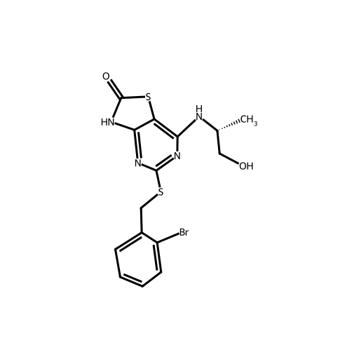 C[C@H](CO)Nc1nc(SCc2ccccc2Br)nc2[nH]c(=O)sc12